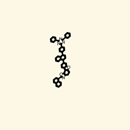 c1ccc(-c2nc(-c3ccccc3)nc(-c3ccc(-c4ccc(-c5ccc6c(c5)oc5ccc7nc(-c8cccc9ccccc89)oc7c56)c5ccccc45)cc3)n2)cc1